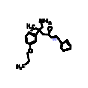 CCCOc1cccc(C(C)(CN)CC(=O)/C=C/c2ccccc2)c1